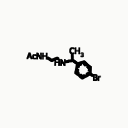 CC(=O)NCCNC(C)c1ccc(Br)cc1